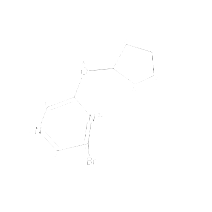 Brc1cncc(OC2CCCC2)n1